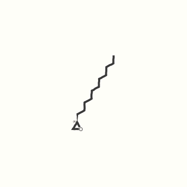 CCCCCCCCCCC[C@@H]1CO1